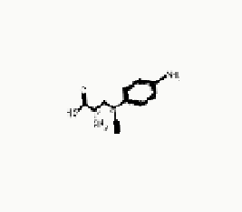 C#C[C@@H](C[C@H](N)C(=O)O)c1ccc(N)cc1